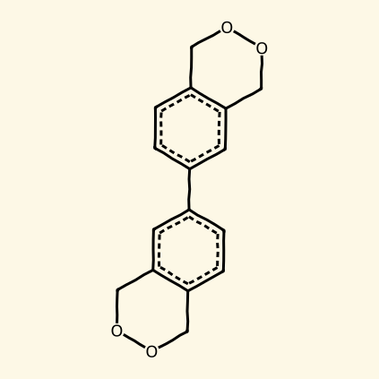 c1cc2c(cc1-c1ccc3c(c1)COOC3)COOC2